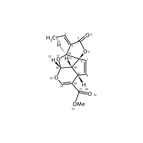 C/C=C1/C(=O)O[C@]23C=C[C@@H]4C(C(=O)OC)=CO[C@H](O[C@@H]12)[C@@H]43